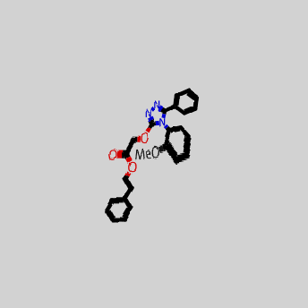 COc1ccccc1-n1c(OCC(=O)OCCc2ccccc2)nnc1-c1ccccc1